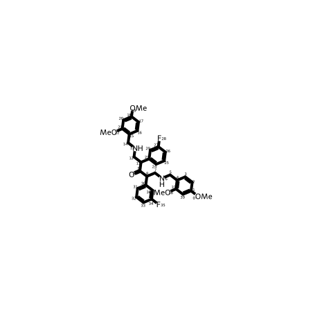 COc1ccc(CNCC(C(=O)C(CNCc2ccc(OC)cc2OC)c2cccc(F)c2)c2cccc(F)c2)c(OC)c1